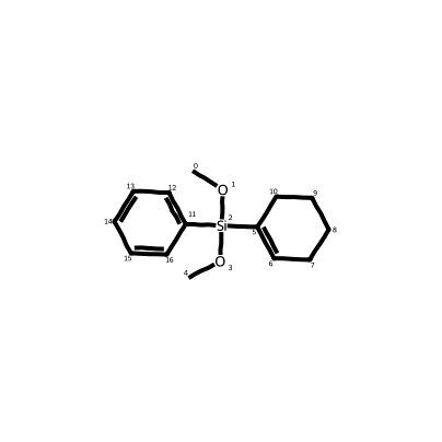 CO[Si](OC)(C1=CCCCC1)c1ccccc1